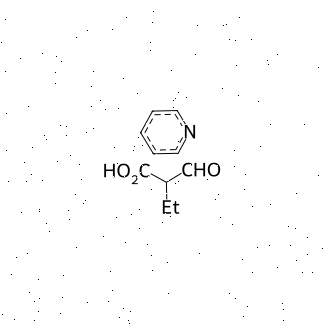 CCC(C=O)C(=O)O.c1ccncc1